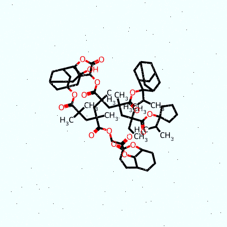 CCC(C)(CC(C)(CC(C)(CC(C)(CC(C)(C)C(=O)OC12CC3CC(CC(O)(C3)C1)C2)C(=O)OCC(=O)OC1C2CCCC1OC(=O)CC2)C(=O)OC1CCOC1=O)C(=O)OC1(C(C)C)C2CC3CC(C2)CC1C3)C(=O)OC1(C(C)C)CCCC1